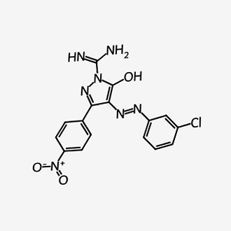 N=C(N)n1nc(-c2ccc([N+](=O)[O-])cc2)c(/N=N/c2cccc(Cl)c2)c1O